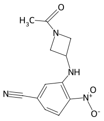 CC(=O)N1CC(Nc2cc(C#N)ccc2[N+](=O)[O-])C1